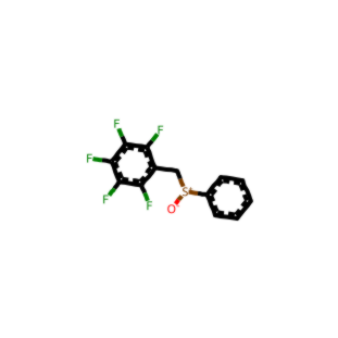 [O-][S+](Cc1c(F)c(F)c(F)c(F)c1F)c1ccccc1